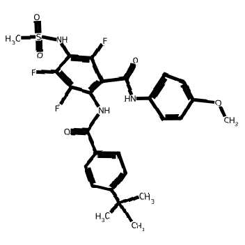 COc1ccc(NC(=O)c2c(F)c(NS(C)(=O)=O)c(F)c(F)c2NC(=O)c2ccc(C(C)(C)C)cc2)cc1